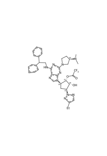 CCc1cnn([C@H]2C[C@@H](n3cnc4c(NCC(c5ccccc5)c5ccccc5)nc(N5CC[C@@H](N(C)C)C5)nc43)[C@H](OC(=O)C(F)(F)F)[C@@H]2O)n1